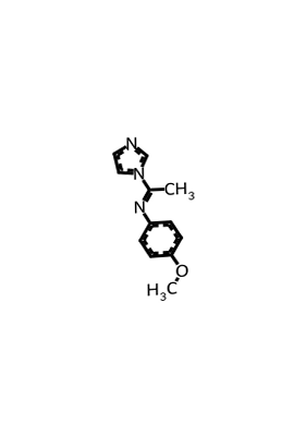 COc1ccc(/N=C(\C)n2ccnc2)cc1